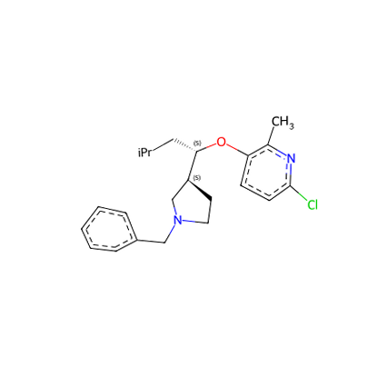 Cc1nc(Cl)ccc1O[C@@H](CC(C)C)[C@H]1CCN(Cc2ccccc2)C1